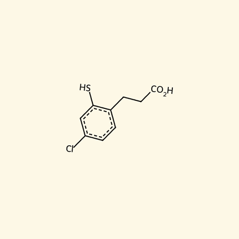 O=C(O)CCc1ccc(Cl)cc1S